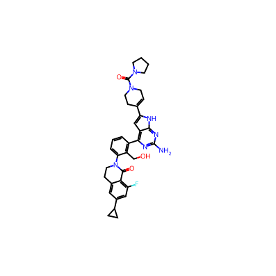 Nc1nc(-c2cccc(N3CCc4cc(C5CC5)cc(F)c4C3=O)c2CO)c2cc(C3=CCN(C(=O)N4CCCC4)CC3)[nH]c2n1